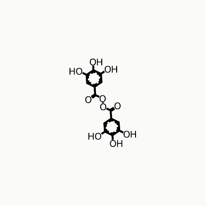 O=C(OOC(=O)c1cc(O)c(O)c(O)c1)c1cc(O)c(O)c(O)c1